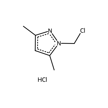 Cc1cc(C)n(CCl)n1.Cl